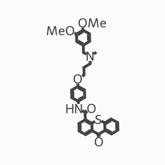 COc1ccc(CN(C)CCCOc2ccc(NC(=O)c3cccc4c(=O)c5ccccc5sc34)cc2)cc1OC